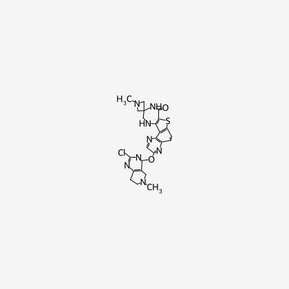 CN1CCc2nc(Cl)nc(Oc3cnc4c(ccc5sc6c(c54)NCC4(CN(C)C4)NC6=O)n3)c2C1